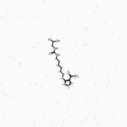 CCC(O)CNC(=O)NCCCCCCSc1nscc1C(N)=O